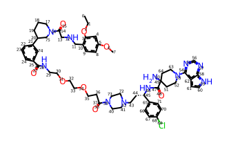 CCOc1cc(OC)ccc1CNCC(=O)N1CCCC(c2cccc(C(=O)NCCOCCOCCC(=O)N3CCN(CC[C@H](NC(=O)C4(N)CCN(c5ncnc6[nH]ccc56)CC4)c4ccc(Cl)cc4)CC3)c2)C1